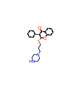 O=c1c(-c2ccccc2)c(SCCCN2CCNCC2)oc2ccccc12